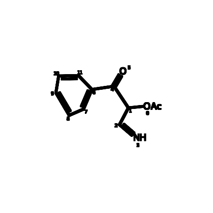 CC(=O)OC(C=N)C(=O)c1ccccc1